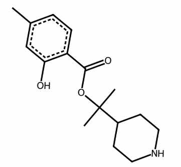 Cc1ccc(C(=O)OC(C)(C)C2CCNCC2)c(O)c1